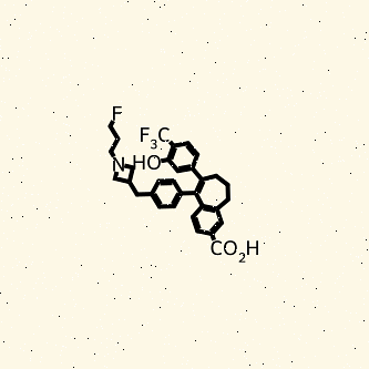 O=C(O)c1ccc2c(c1)CCCC(c1ccc(C(F)(F)F)c(O)c1)=C2c1ccc(CC2CN(CCCF)C2)cc1